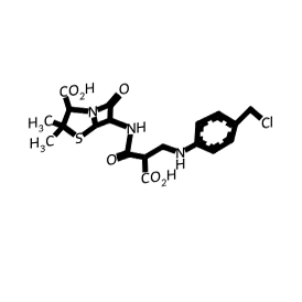 CC1(C)SC2C(NC(=O)C(CNc3ccc(CCl)cc3)C(=O)O)C(=O)N2C1C(=O)O